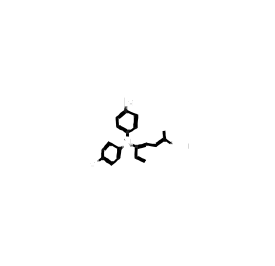 C=C/C(=C\C=C(/C)C(C)CC)N(c1ccc(Br)cc1)c1ccc(Br)cc1